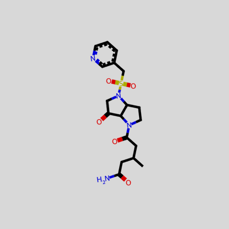 CC(CC(N)=O)CC(=O)N1CCC2C1C(=O)CN2S(=O)(=O)Cc1cccnc1